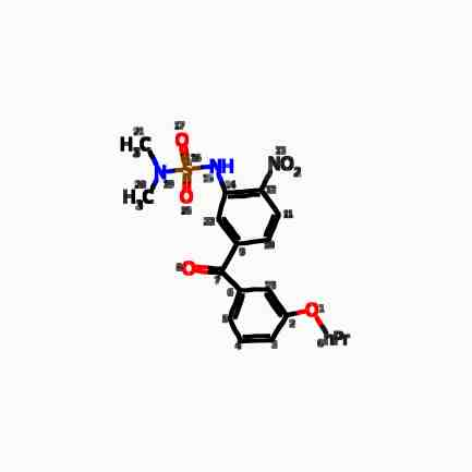 CCCOc1cccc(C(=O)c2ccc([N+](=O)[O-])c(NS(=O)(=O)N(C)C)c2)c1